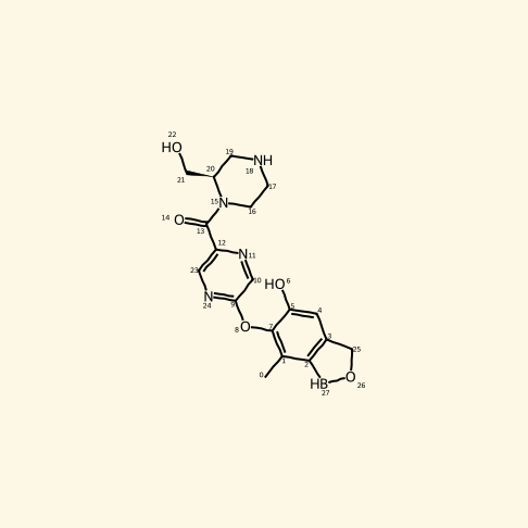 Cc1c2c(cc(O)c1Oc1cnc(C(=O)N3CCNC[C@@H]3CO)cn1)COB2